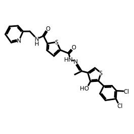 C/C(=N\NC(=O)c1ccc(C(=O)NCc2ccccn2)s1)c1csc(-c2ccc(Cl)c(Cl)c2)c1O